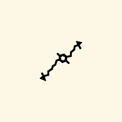 Cc1cc(CCCCC2(C)CC2)c(C)cc1CCCCCCC1(C)CC1